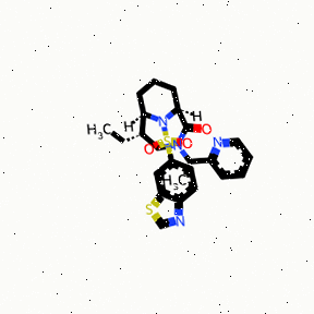 CC[C@H]1CN([C@@H](C)c2ccccn2)C(=O)[C@@H]2CCC[C@H]1N2S(=O)(=O)c1ccc2ncsc2c1